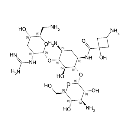 N=C(N)N[C@@H]1C[C@H](O)[C@@H](CN)O[C@@H]1O[C@H]1[C@H](O)[C@@H](O[C@H]2O[C@H](CO)[C@@H](O)[C@H](N)[C@H]2O)[C@H](NC(=O)C2(O)CC(N)C2)C[C@@H]1N